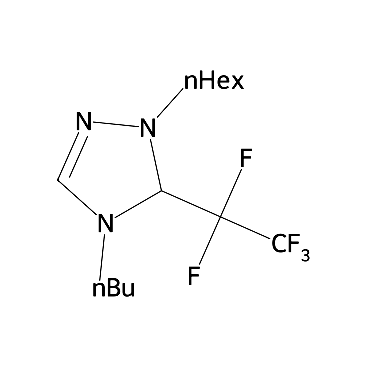 CCCCCCN1N=CN(CCCC)C1C(F)(F)C(F)(F)F